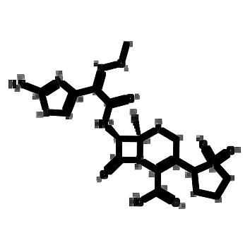 CO/N=C(\C(=O)N[C@@H]1C(=O)N2C(C(=O)O)=C(C3CCCS3(=O)=O)CS[C@H]12)c1csc(N)n1